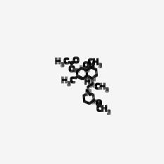 CO[C@@H]1CCCN(C[C@@H](C)[C@@H]2CC[C@@H](C)[C@]3(O)[C][C@@H](OC(C)=O)C(C)=C[C@H]23)C1